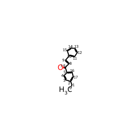 CCc1ccc(C(=O)C=Cc2ccccc2)cc1